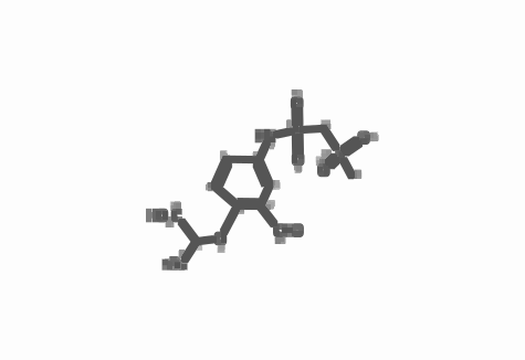 CCCCC(Oc1ccc(NS(=O)(=O)CS(C)(=O)=O)cc1C=O)C(=O)O